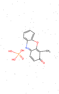 Cc1c2oc3ccccc3nc-2ccc1=O.O=P(O)(O)O